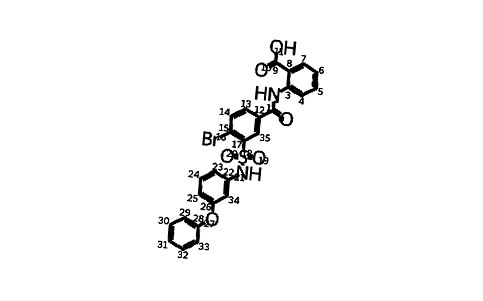 O=C(Nc1ccccc1C(=O)O)c1ccc(Br)c(S(=O)(=O)Nc2cccc(Oc3ccccc3)c2)c1